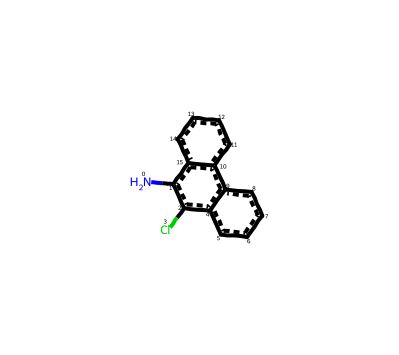 Nc1c(Cl)c2ccccc2c2ccccc12